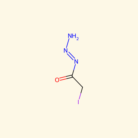 NN=NC(=O)CI